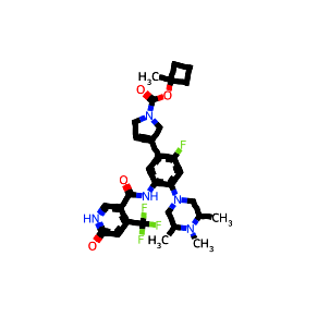 CC1CN(c2cc(F)c(C3=CCN(C(=O)OC4(C)CCC4)C3)cc2NC(=O)c2c[nH]c(=O)cc2C(F)(F)F)CC(C)N1C